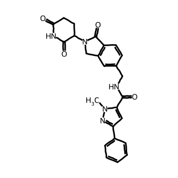 Cn1nc(-c2ccccc2)cc1C(=O)NCc1ccc2c(c1)CN(C1CCC(=O)NC1=O)C2=O